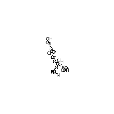 Cc1c(COc2cc(OCc3cncc(C#N)c3)c(CNC(C)(CO)C(=O)O)cc2Cl)cccc1-c1cccc(OCCCN2CC[C@@H](O)C2)c1Cl